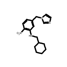 O=[N+]([O-])c1ccc(Cn2ccnc2)cc1NCC1CCCCC1